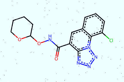 O=C(NOC1CCCCO1)c1cc2cccc(Cl)c2n2nnnc12